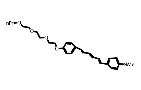 CCCOCCOCCOCCOc1ccc(/C=C/C=C/C=C/c2ccc(NC)cc2)cc1